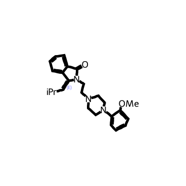 COc1ccccc1N1CCN(CCN2C(=O)c3ccccc3/C2=C\C(C)C)CC1